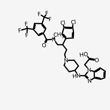 CN(CC(CCN1CCC(Nc2nc3ccccc3n2CC(=O)O)CC1)c1ccc(Cl)c(Cl)c1)C(=O)c1cc(C(F)(F)F)cc(C(F)(F)F)c1